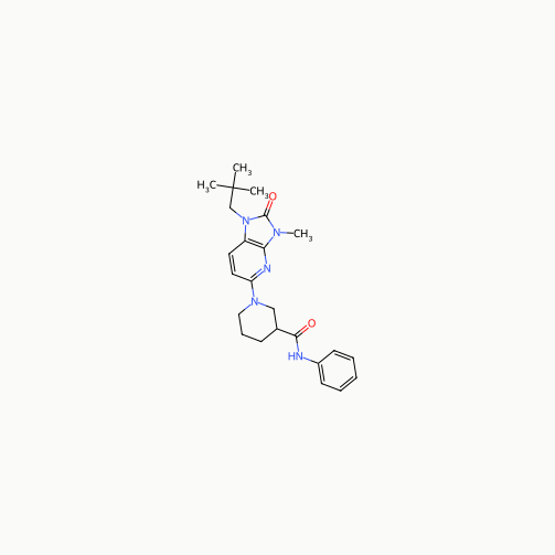 Cn1c(=O)n(CC(C)(C)C)c2ccc(N3CCCC(C(=O)Nc4ccccc4)C3)nc21